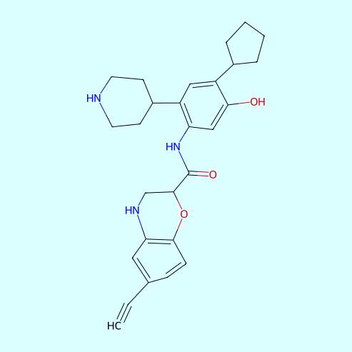 C#Cc1ccc2c(c1)NCC(C(=O)Nc1cc(O)c(C3CCCC3)cc1C1CCNCC1)O2